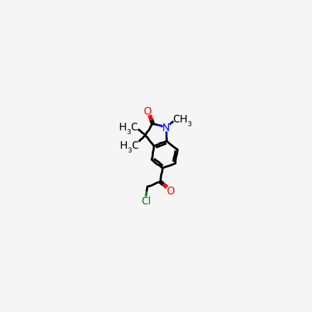 CN1C(=O)C(C)(C)c2cc(C(=O)CCl)ccc21